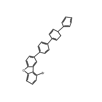 Brc1cccc2oc3ccc(-c4ccc(C5=CCC(c6ccccc6)C=C5)cc4)cc3c12